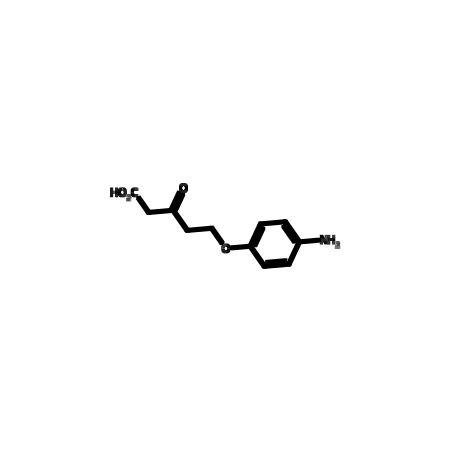 Nc1ccc(OCCC(=O)CC(=O)O)cc1